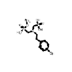 NOP(=O)(O)CN(CCc1ccc(O)cc1)CP(=O)(O)O